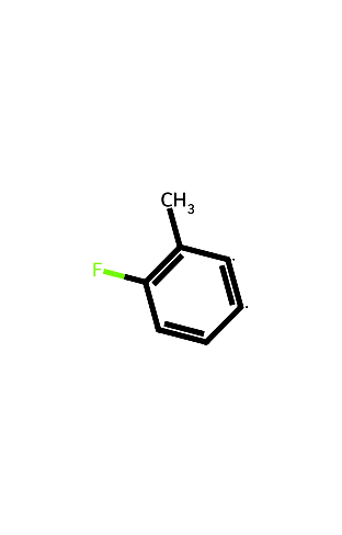 Cc1[c][c]ccc1F